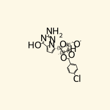 COC[C@H]1O[C@@H](c2ccc3c(O)nc(N)nn23)[C@]2(C)OC(c3ccc(Cl)cc3)O[C@H]12